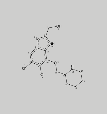 OCc1nc2cc(Cl)c(Cl)c(OCC3CCCCN3)c2[nH]1